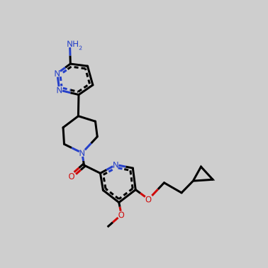 COc1cc(C(=O)N2CCC(c3ccc(N)nn3)CC2)ncc1OCCC1CC1